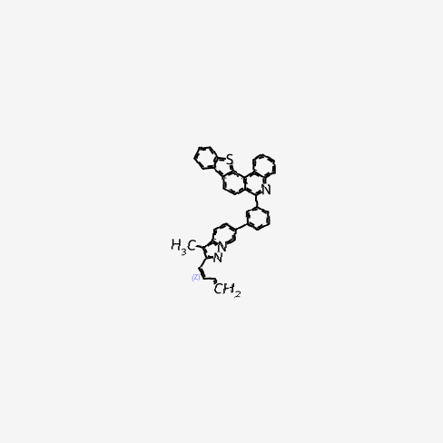 C=C/C=C\c1nn2cc(-c3cccc(-c4nc5ccccc5c5c4ccc4c6ccccc6sc45)c3)ccc2c1C